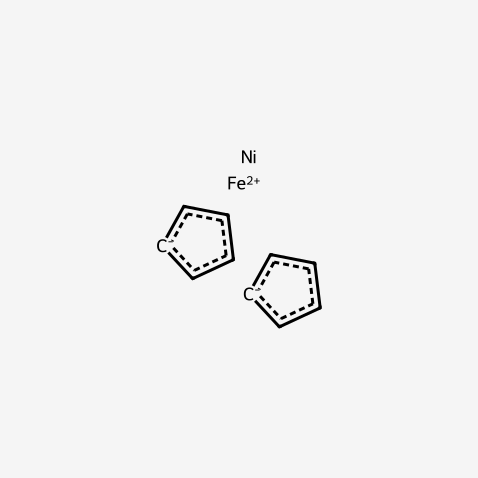 [Fe+2].[Ni].c1cc[cH-]c1.c1cc[cH-]c1